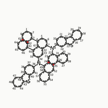 c1ccc(-c2ccc(N(c3ccc4c(c3)sc3ccccc34)c3cccc4ccccc34)c3cc(N(c4ccc5c(c4)sc4ccccc45)c4cccc5ccccc45)cc(-c4ccccc4)c23)cc1